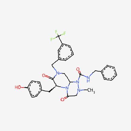 CN1CC(=O)N2C(CN(Cc3cccc(C(F)(F)F)c3)C(=O)[C@@H]2Cc2ccc(O)cc2)N1C(=O)NCc1ccccc1